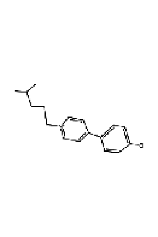 CC(C)CCC[n+]1ccc(-c2ccc(Cl)cc2)cc1